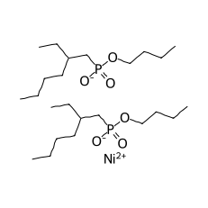 CCCCOP(=O)([O-])CC(CC)CCCC.CCCCOP(=O)([O-])CC(CC)CCCC.[Ni+2]